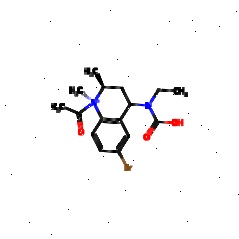 CCN(C(=O)O)C1C[C@H](C)[N@+](C)(C(C)=O)c2ccc(Br)cc21